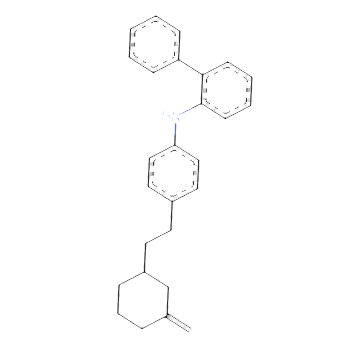 C=C1CCCC(CCc2ccc(Nc3ccccc3-c3ccccc3)cc2)C1